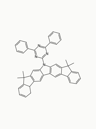 CC1(C)C2=CC=CCC2c2cc3c4cc5c(cc4n(-c4nc(-c6ccccc6)nc(-c6ccccc6)n4)c3cc21)C(C)(C)c1ccccc1-5